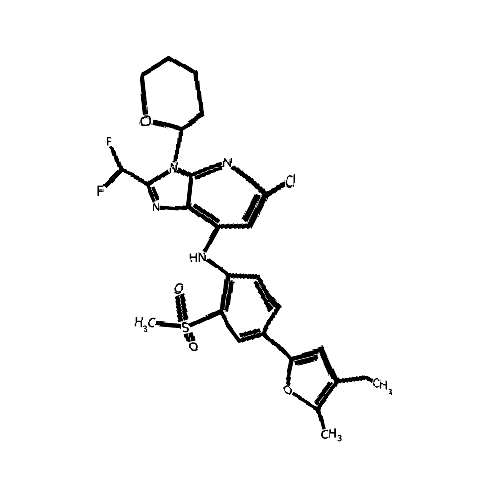 Cc1cc(-c2ccc(Nc3cc(Cl)nc4c3nc(C(F)F)n4C3CCCCO3)c(S(C)(=O)=O)c2)oc1C